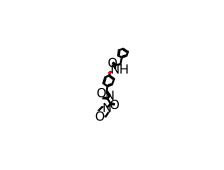 O=C(Cc1ccccc1)NCc1ccc(-c2nc(C(=O)N3CCOCC3)co2)cc1